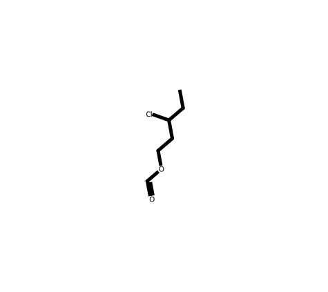 CCC(Cl)CCO[C]=O